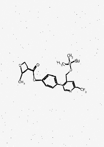 CC1OCC1C(=O)Oc1ccc(-c2cnc(C(F)(F)F)cc2CO[Si](C)(C)C(C)(C)C)cc1